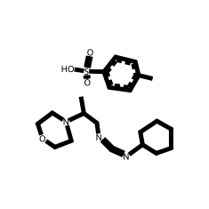 CC(CN=C=NC1CCCCC1)N1CCOCC1.Cc1ccc(S(=O)(=O)O)cc1